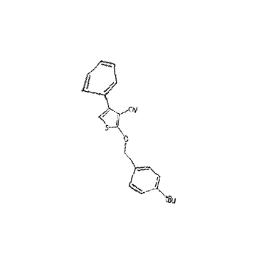 CC(C)(C)c1ccc(COc2scc(-c3ccccc3)c2C#N)cc1